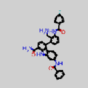 NCc1c(NC(=O)c2ccc(F)cc2)cccc1-c1ccc(C(N)=O)c2[nH]c3cc(NC(=O)c4ccccc4)ccc3c12